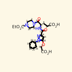 CCOC(=O)N1CCN(C(=O)[C@H](CCC(=O)O)NC(=O)c2cc(OCC(=O)O)n(-c3ccccc3)n2)CC1